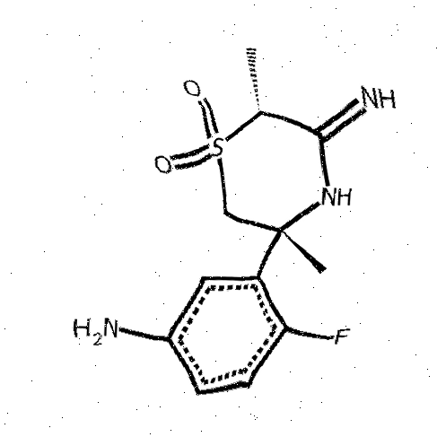 C[C@@H]1C(=N)N[C@](C)(c2cc(N)ccc2F)CS1(=O)=O